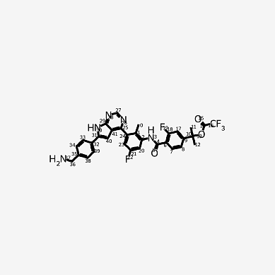 Cc1c(NC(=O)c2ccc(C(C)(C)OC(=O)C(F)(F)F)cc2F)cc(F)cc1-c1ncnc2[nH]c(-c3ccc(CN)cc3)cc12